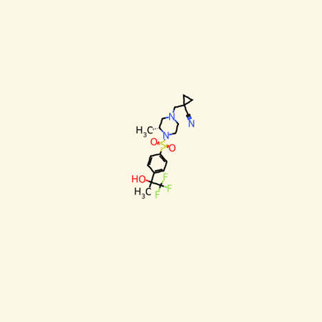 C[C@@H]1CN(CC2(C#N)CC2)CCN1S(=O)(=O)c1ccc(C(C)(O)C(F)(F)F)cc1